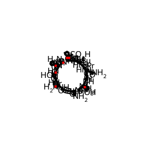 CCCC[C@H]1C(=O)N(C)[C@@H](CCCC)C(=O)N[C@@H](CC(C)C)C(=O)N[C@H](C(=O)NCC(N)=O)CSCC(=O)N[C@@H](Cc2ccc(O)cc2)C(=O)N(C)[C@@H](C)C(=O)N[C@@H](CC(N)=O)C(=O)NCCCCC(=O)N[C@@H](CN)C(=O)N[C@@H](CC(C)C)C(=O)N2C[C@H](O)C[C@H]2C(=O)N[C@@H](Cc2c[nH]c3ccccc23)C(=O)N[C@@H](CCN)C(=O)N[C@@H](Cc2cn(CC(=O)O)c3ccccc23)C(=O)N1C